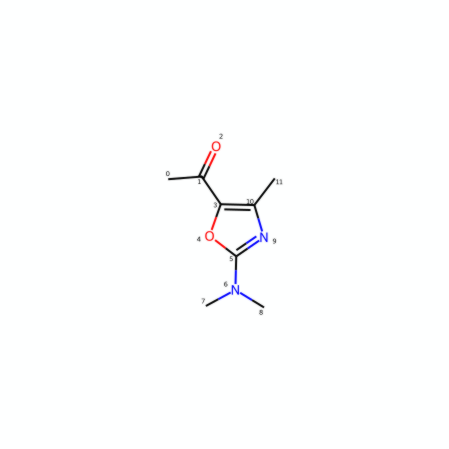 CC(=O)c1oc(N(C)C)nc1C